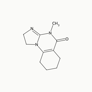 CN1C(=O)C2=C(CCCC2)N2CCN=C12